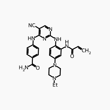 C=CC(=O)Nc1cc(N2CCN(CC)CC2)ccc1Nc1ncc(C#N)c(Nc2ccc(C(N)=O)cc2)n1